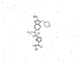 CC(C)NC(=O)c1ccn(S(=O)(=O)N(C)c2ccc3c(c2)nc(C(C)(C)C)n3CC2CCOCC2)n1